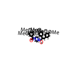 COc1ccc(C=C(C(=O)N2CCN(C(=O)c3cc(OC)c(OC)c(OC)c3)CC2)c2ccc(OC)c(OC)c2)cc1OC